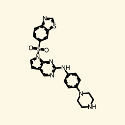 O=S(=O)(c1ccc2ncsc2c1)n1ccc2cnc(Nc3ccc(N4CCNCC4)cc3)nc21